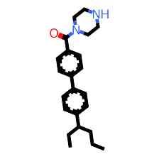 CCCC(CC)c1ccc(-c2ccc(C(=O)N3CCNCC3)cc2)cc1